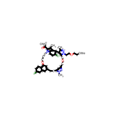 COCCOCCn1nc(C)c2c1COCc1cc(n(C)n1)CCc1cc(c3ccc(F)cc3c1)OCCCn1c(C(=O)OC)c(C)c3c-2c(Cl)ccc31